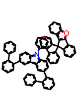 c1ccc(-c2ccccc2-c2ccc3c(c2)c2cc(-c4ccccc4-c4ccccc4)ccc2n3-c2ccccc2-c2ccccc2C2(c3ccccc3)c3ccccc3-c3oc4ccccc4c32)cc1